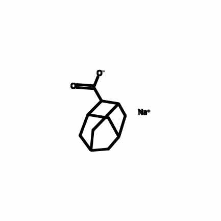 O=C([O-])C1C2CC3CC(C2)CC1C3.[Na+]